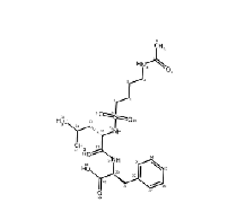 CC(=O)NCCCCS(=O)(=O)N[C@@H](CC(C)C)C(=O)N[C@@H](Cc1ccccc1)C(=O)O